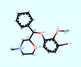 CCCOc1c(I)cccc1OC(c1ccccc1)C1CN(C)CCO1